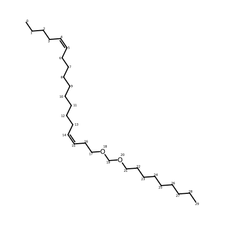 CCCC/C=C\CCCCCCCC/C=C\CCOCOCCCCCCCCC